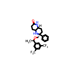 C[C@@H](OC[C@@]1(c2ccccc2)CC[C@@H]2NC(=O)CCC2N1)c1cc(C(F)(F)F)cc(C(F)(F)F)c1